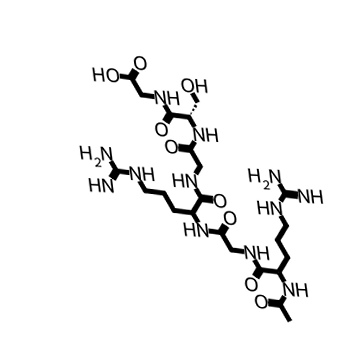 CC(=O)NC(CCCNC(=N)N)C(=O)NCC(=O)NC(CCCNC(=N)N)C(=O)NCC(=O)N[C@@H](CO)C(=O)NCC(=O)O